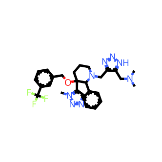 CN(C)Cc1[nH]nnc1CN1CCCC(OCc2cccc(C(F)(F)F)c2)(c2cnnn2C)C1c1ccccc1